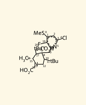 CSc1cc(Cl)nc(C[C@@]2(C(=O)O)C(C(C)(C)C)CN(C(=O)O)[C@H](C)C2C(C)(C)C)c1F